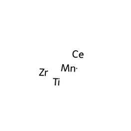 [Ce].[Mn].[Ti].[Zr]